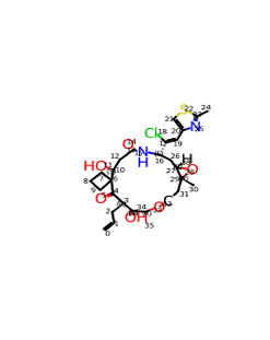 C=CC[C@H]1C(=O)C2(CCC2)[C@@H](O)CC(=O)N[C@H](C(Cl)=Cc2csc(C)n2)C[C@@H]2O[C@]2(C)CCO[C@H](C)[C@H]1O